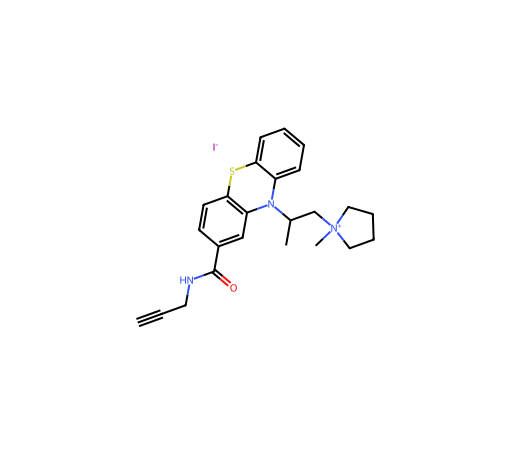 C#CCNC(=O)c1ccc2c(c1)N(C(C)C[N+]1(C)CCCC1)c1ccccc1S2.[I-]